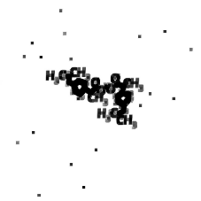 CC(C)Cc1ccc([C@H](C)C(=O)OCOC(=O)[C@H](C)c2ccc(CC(C)C)cc2)cc1